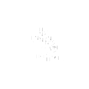 COc1ccc(Sc2nc3c(=O)[nH]c(N)nc3n2[C@@H]2O[C@H](CO)[C@@H](O)[C@H]2O)cc1